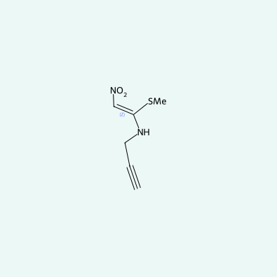 C#CCN/C(=C/[N+](=O)[O-])SC